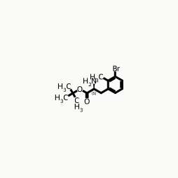 Cc1c(Br)cccc1C[C@H](N)C(=O)OC(C)(C)C